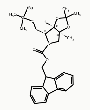 CC1(C)O[C@@H]2[C@@H](CO[Si](C)(C)C(C)(C)C)N(C(=O)OCC3c4ccccc4-c4ccccc43)C[C@]2(C)O1